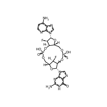 Nc1nc2c(ncn2[C@@H]2O[C@@H]3COP(=O)(O)O[C@H]4[C@@H](F)[C@H](n5cnc6c(N)ccnc65)O[C@@H]4COP(O)(=S)O[C@@H]2[C@@H]3F)c(=O)[nH]1